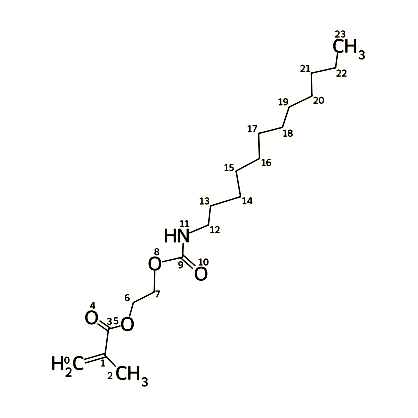 C=C(C)C(=O)OCCOC(=O)NCCCCCCCCCCCC